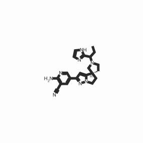 CCC(c1ncc[nH]1)N1CC[C@@]2(CCn3nc(-c4cnc(N)c(C#N)c4)cc32)C1